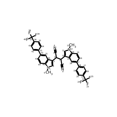 Cn1cc(C(C#N)C(C#N)c2cn(C)c3ccc(-c4ccc(C(F)(F)F)cc4)cc23)c2cc(-c3ccc(C(F)(F)F)cc3)ccc21